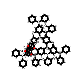 Cc1ccccc1N1c2cc3c(cc2B2c4cc5c(cc4Oc4cc(N(c6ccccc6)c6ccccc6)cc1c42)N(c1ccccc1C)c1cc(N(c2ccccc2)c2ccccc2)cc2c1B5c1sc(C(C)(C)C)cc1O2)B1c2sc(C(C)(C)C)cc2Oc2cc(N(c4ccccc4)c4ccccc4)cc(c21)N3c1ccccc1C